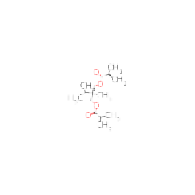 C=C(C)C(=O)OCC(C)(COC(=O)C(=C)C)C(C)C